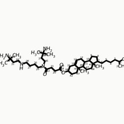 CC(C)CCCCC1CCC2C3CC=C4CC(OC(=O)CCC(=O)N(CCCCNCCC(C)(C)N)CCC(C)(C)N)CCC4(C)C3CCC12C